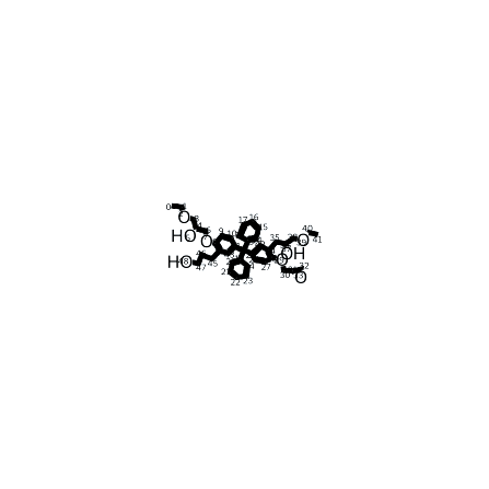 CCOCC(O)COc1ccc(C(c2ccccc2)(c2ccccc2)c2ccc(OCC3CO3)c(CC(O)COCC)c2)cc1CCCO